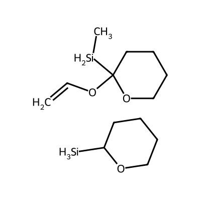 C=COC1([SiH2]C)CCCCO1.[SiH3]C1CCCCO1